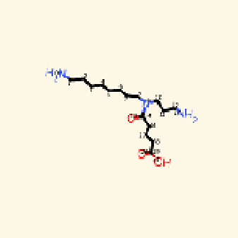 NCCCCCCCCN(CCCN)C(=O)CCCC(=O)O